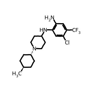 C[C@H]1CC[C@H](N2CCC(Nc3cc(Cl)c(C(F)(F)F)cc3N)CC2)CC1